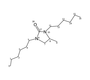 CCCCCCN1CC(C)N(CCCCCC)C1=O